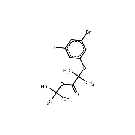 CC(C)(C)OC(=O)C(C)(C)Oc1cc(F)cc(Br)c1